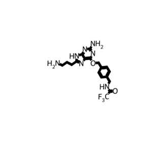 NCCCc1nc2c(OCc3ccc(CNC(=O)C(F)(F)F)cc3)nc(N)nc2[nH]1